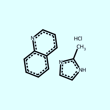 Cc1ncc[nH]1.Cl.c1ccc2ncccc2c1